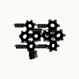 O=C([O-])c1ccccc1-c1cccc(-c2ccccc2C(=O)[O-])c1-c1ccccc1C(=O)[O-].O=C([O-])c1ccccc1-c1cccc(-c2ccccc2C(=O)[O-])c1-c1ccccc1C(=O)[O-].[Zn+2].[Zn+2].[Zn+2]